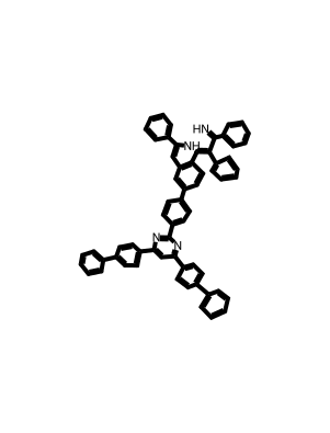 N=C(/C(=C1\NC(c2ccccc2)=Cc2cc(-c3ccc(-c4nc(-c5ccc(-c6ccccc6)cc5)cc(-c5ccc(-c6ccccc6)cc5)n4)cc3)ccc21)c1ccccc1)c1ccccc1